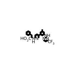 Cc1cc(Nc2nccc(C(F)(F)F)n2)cc(-c2ccc(N[C@H](Cc3ccccc3)C(=O)O)nc2)c1